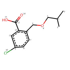 CC(C)COCc1ccc(Cl)cc1C(=O)O